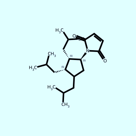 CC(C)CC1C[C@H](N2C(=O)C=CC2=O)[C@@H](CC(C)C)[C@H]1CC(C)C